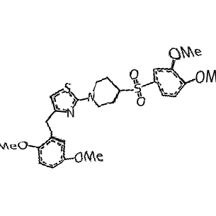 COc1ccc(OC)c(Cc2csc(N3CCC(S(=O)(=O)c4ccc(OC)c(OC)c4)CC3)n2)c1